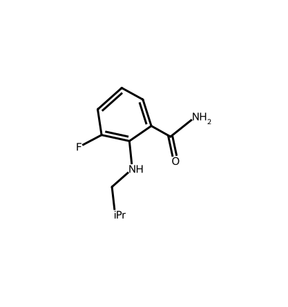 CC(C)CNc1c(F)cccc1C(N)=O